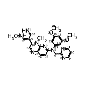 C=Nc1nc(N(Cc2ncccn2)c2cc(OC)cc(OC)c2)ccc1/N=C\C/C(C=N)=C/NC